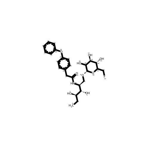 CC[C@@H](O)[C@@H](O)[C@H](CO[C@H]1OC(CF)[C@@H](O)[C@H](O)C1O)NC(=O)Cc1ccc(Oc2ccccc2)cc1